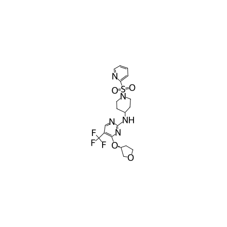 O=S(=O)(c1ccccn1)N1CCC(Nc2ncc(C(F)(F)F)c(O[C@H]3CCOC3)n2)CC1